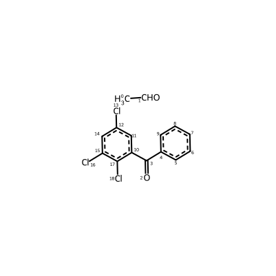 CC=O.O=C(c1ccccc1)c1cc(Cl)cc(Cl)c1Cl